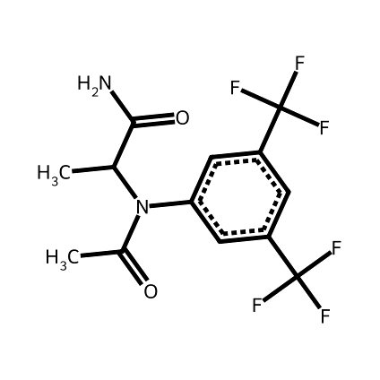 CC(=O)N(c1cc(C(F)(F)F)cc(C(F)(F)F)c1)C(C)C(N)=O